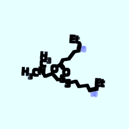 CC/C=C\CCCSSCC(CN(C)C)OC(=O)CCC/C=C\CC